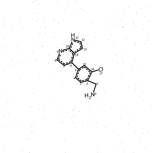 NCc1ccc(-c2ccnc3[nH]ccc23)cc1Cl